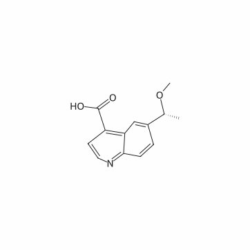 CO[C@H](C)c1ccc2nccc(C(=O)O)c2c1